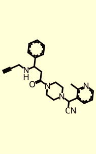 C#CCNC(CC(=O)N1CCN(C(C#N)c2cccnc2C)CC1)c1ccccc1